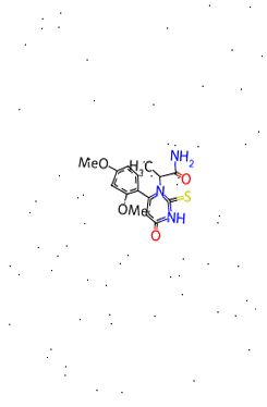 COc1ccc(-c2cc(=O)[nH]c(=S)n2C(C)C(N)=O)c(OC)c1